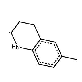 Cc1ccc2c(c1)CC[CH]N2